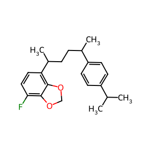 CC(C)c1ccc(C(C)CCC(C)c2ccc(F)c3c2OCO3)cc1